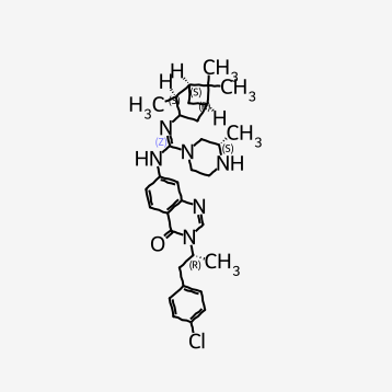 C[C@@H]1C(/N=C(/Nc2ccc3c(=O)n([C@H](C)Cc4ccc(Cl)cc4)cnc3c2)N2CCN[C@@H](C)C2)C[C@H]2C[C@@H]1C2(C)C